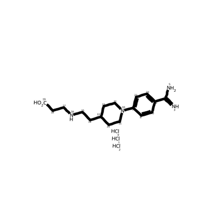 Cl.Cl.Cl.N=C(N)c1ccc(N2CCC(CCNCCC(=O)O)CC2)cc1